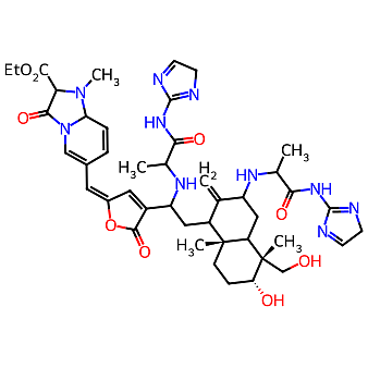 C=C1C(NC(C)C(=O)NC2=NCC=N2)CC2[C@](C)(CC[C@@H](O)[C@@]2(C)CO)C1CC(NC(C)C(=O)NC1=NCC=N1)C1=C/C(=C\C2=CN3C(=O)C(C(=O)OCC)N(C)C3C=C2)OC1=O